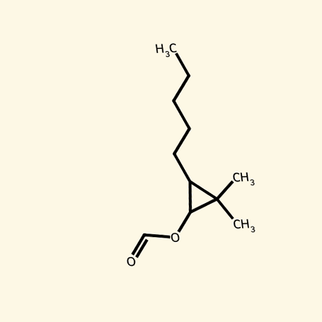 CCCCCC1C(OC=O)C1(C)C